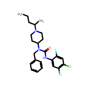 CCCC(C)N1CCC(N(Cc2ccccc2)C(=O)Nc2cc(Cl)c(Cl)cc2F)CC1